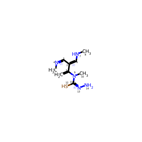 C=C(C(/C=N\C)=C/NC)N(C)/C(S)=N\N